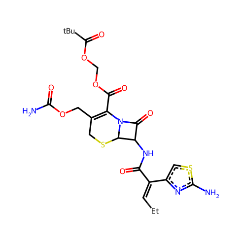 CCC=C(C(=O)NC1C(=O)N2C(C(=O)OCOC(=O)C(C)(C)C)=C(COC(N)=O)CSC12)c1csc(N)n1